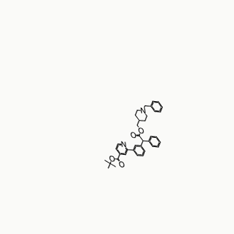 CC(C)(C)OC(=O)c1ccnc(-c2cccc(C(C(=O)OCC3CCN(Cc4ccccc4)CC3)c3ccccc3)c2)c1